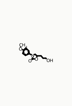 COc1ccc(N2CC(CCCO)OC2=O)cc1